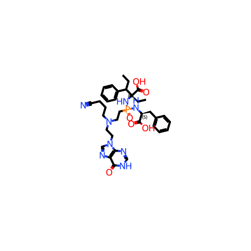 CCC(c1ccccc1)[C@@](CC)(NP(=O)(CCN(CCCC#N)CCn1cnc2c(=O)[nH]cnc21)N[C@@H](Cc1ccccc1)C(=O)O)C(=O)O